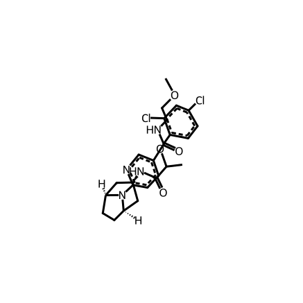 COCCNC(=O)c1ccc(N2[C@@H]3CC[C@H]2C[C@@H](NC(=O)C(C)Oc2ccc(Cl)cc2Cl)C3)nc1